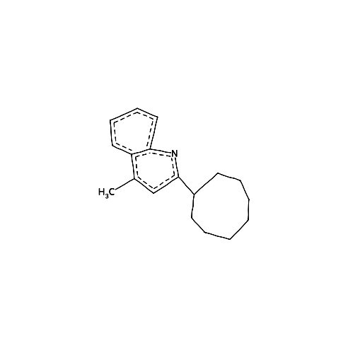 Cc1cc(C2CCCCCCC2)nc2ccccc12